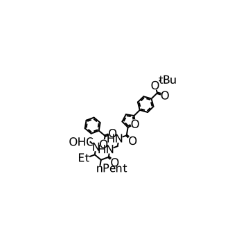 CCCCCC(C(=O)NCNC(=O)c1ccc(-c2ccc(C(=O)OC(C)(C)C)cc2)o1)C(CC)N(C=O)OC(=O)c1ccccc1